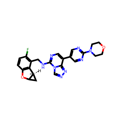 Fc1ccc2c(c1CNc1ncc(-c3cnc(N4CCOCC4)nc3)c3nncn13)[C@H]1CC1O2